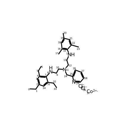 CCc1cc(CC)c(NCCN(CCNc2c(C)cc(C)cc2C)Cc2ccccn2)c(CC)c1.[Cl-].[Cl-].[Co+2]